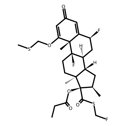 CCC(=O)O[C@]1(C(=O)SCF)[C@H](C)C[C@H]2[C@@H]3C[C@H](F)C4=CC(=O)C=C(OCSC)[C@@]4(C)[C@@]3(F)CC[C@@]21C